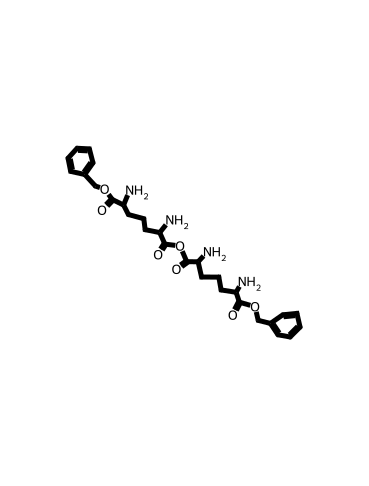 NC(CCCC(N)C(=O)OC(=O)C(N)CCCC(N)C(=O)OCc1ccccc1)C(=O)OCc1ccccc1